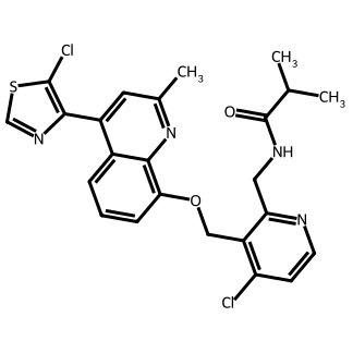 Cc1cc(-c2ncsc2Cl)c2cccc(OCc3c(Cl)ccnc3CNC(=O)C(C)C)c2n1